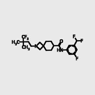 CC(C)(CCN1CC2(CCC(C(=O)Nc3cc(F)cc(C(F)F)c3)CC2)C1)C(F)(F)F